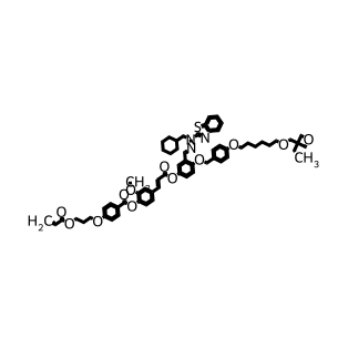 C=CC(=O)OCCCOc1ccc(C(=O)Oc2ccc(/C=C/C(=O)Oc3ccc(OCc4ccc(OCCCCCCOCC5(CC)COC5)cc4)c(/C=N/N(CC4CCCCC4)c4nc5ccccc5s4)c3)cc2OC)cc1